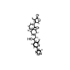 CC1=C(N2CCN(C)C3(CCN(CC(O)c4ccc(-n5cnnn5)nc4C)CC3)C2=O)COC1=O